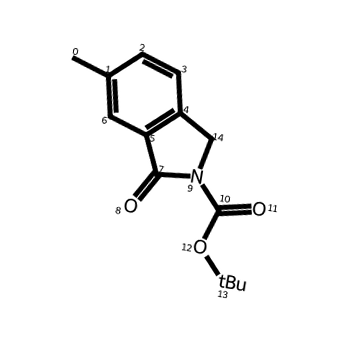 Cc1ccc2c(c1)C(=O)N(C(=O)OC(C)(C)C)C2